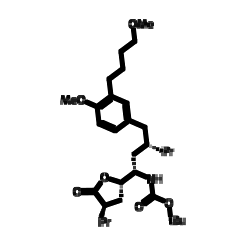 COCCCCc1cc(C[C@@H](C[C@H](NC(=O)OC(C)(C)C)[C@@H]2C[C@@H](C(C)C)C(=O)O2)C(C)C)ccc1OC